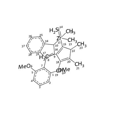 COc1cccc(OC)c1C1=C[CH]([Zr]([CH3])([CH3])(=[SiH2])[C]2=C(C)C(C)=C(C)C2C)c2ccccc21